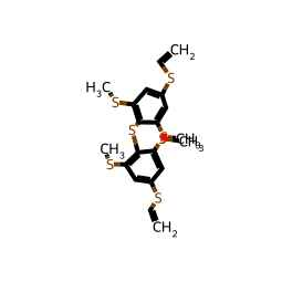 C=CSc1cc(SC)c(Sc2c(SC)cc(SC=C)cc2SC)c(SC)c1